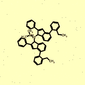 CCc1ccccc1-c1cccc2c1C=C(c1ccccc1)[CH]2[Hf]([CH]1C(c2ccccc2)=Cc2c(-c3ccccc3CC)cccc21)[SiH](C)C